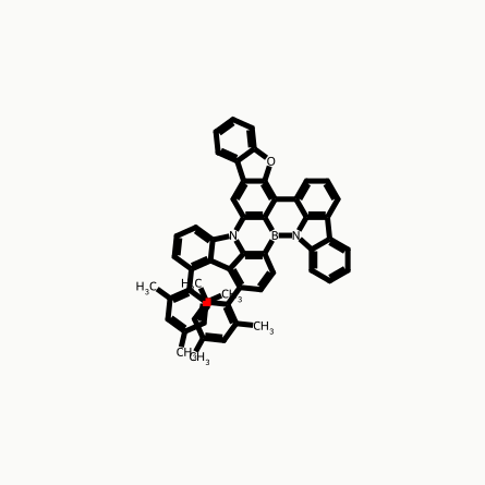 Cc1cc(C)c(-c2cccc3c2c2c(-c4c(C)cc(C)cc4C)ccc4c2n3-c2cc3c(oc5ccccc53)c3c2B4n2c4ccccc4c4cccc-3c42)c(C)c1